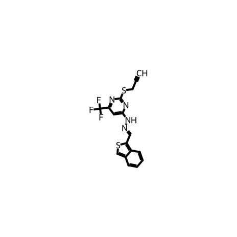 C#CCSc1nc(NN=Cc2scc3ccccc23)cc(C(F)(F)F)n1